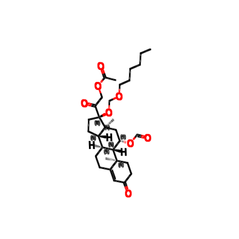 CCCCCCOCO[C@]1(C(=O)COC(C)=O)CC[C@H]2[C@@H]3CCC4=CC(=O)CC[C@]4(C)[C@H]3[C@@H](OC=O)C[C@@]21C